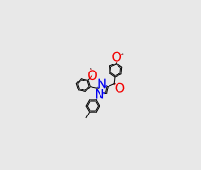 COc1ccc(C(=O)c2cn(-c3ccc(C)cc3)c(-c3ccccc3OC)n2)cc1